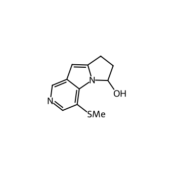 CSc1cncc2cc3n(c12)C(O)CC3